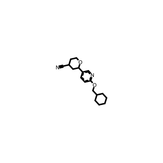 N#CC1CCOC(c2ccc(OCC3CCCCC3)nc2)C1